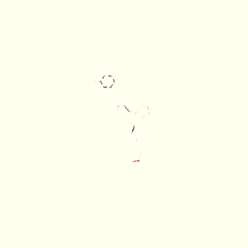 CO[C@H](/C=C/[C@H]1CC[C@H](O)[C@@H]1C/C=C\CCCC(=O)OC(C)C)COc1cccc(C(F)(F)F)c1